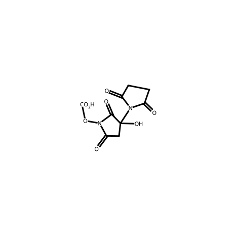 O=C(O)ON1C(=O)CC(O)(N2C(=O)CCC2=O)C1=O